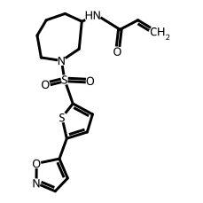 C=CC(=O)NC1CCCCN(S(=O)(=O)c2ccc(-c3ccno3)s2)C1